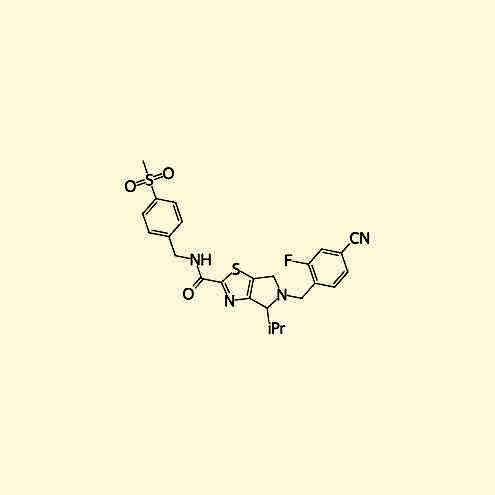 CC(C)C1c2nc(C(=O)NCc3ccc(S(C)(=O)=O)cc3)sc2CN1Cc1ccc(C#N)cc1F